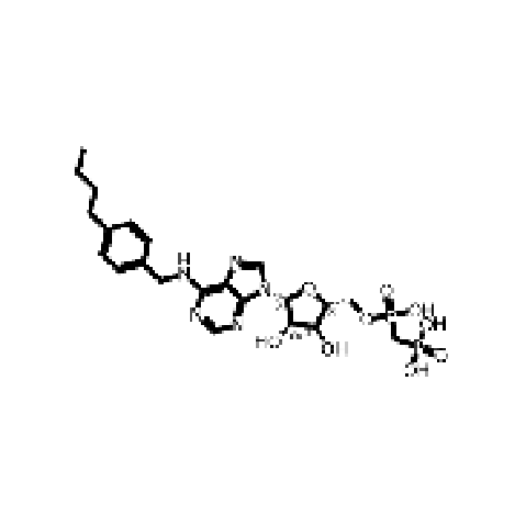 CCCCc1ccc(CNc2ncnc3c2ncn3[C@@H]2O[C@H](COP(=O)(O)CP(=O)(O)O)[C@@H](O)[C@H]2O)cc1